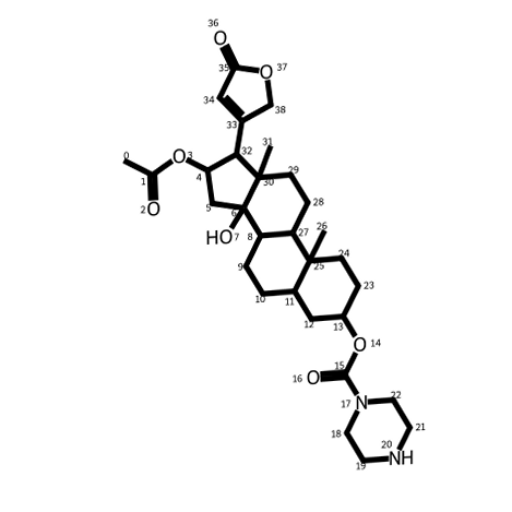 CC(=O)OC1CC2(O)C3CCC4CC(OC(=O)N5CCNCC5)CCC4(C)C3CCC2(C)C1C1=CC(=O)OC1